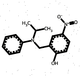 CC(C)N(Cc1cc([N+](=O)[O-])ccc1O)c1ccccc1